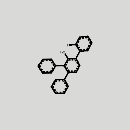 Oc1c(-c2ccccc2F)ccc(-c2ccccc2)c1-c1ccccc1